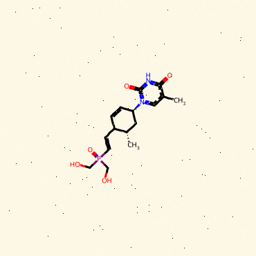 Cc1cn([C@@H]2C=CC(/C=C/P(=O)(CO)CO)[C@@H](C)C2)c(=O)[nH]c1=O